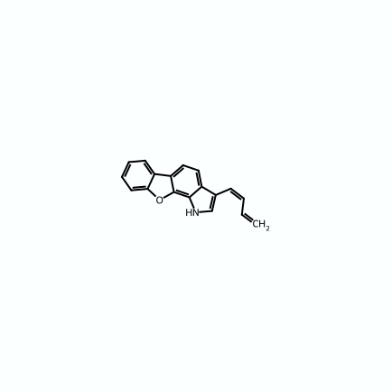 C=C/C=C\c1c[nH]c2c1ccc1c3ccccc3oc12